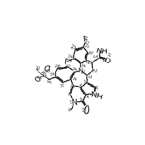 Cn1cc2c3c(c[nH]c3c1=O)C(CCC(N)=O)N(c1ccc(F)cc1F)c1ccc(CS(C)(=O)=O)cc1-2